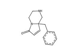 O=C1C=CC2(Cc3ccccc3)CNCCN12